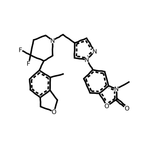 Cc1c(C2CN(Cc3cnn(-c4ccc5oc(=O)n(C)c5c4)c3)CCC2(F)F)ccc2c1COC2